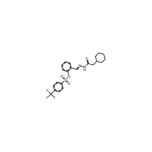 O=C(CC1CCCCC1)NN=Cc1ccccc1OS(=O)(=O)c1ccc(C(F)(F)F)cc1